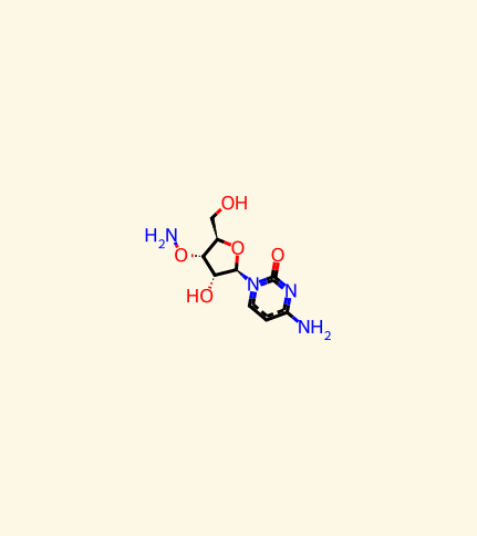 NO[C@H]1[C@@H](O)[C@H](n2ccc(N)nc2=O)O[C@@H]1CO